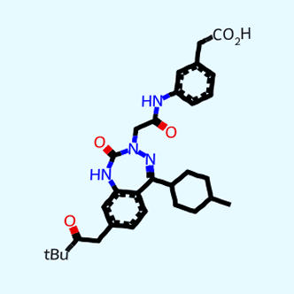 CC1CCC(C2=NN(CC(=O)Nc3cccc(CC(=O)O)c3)C(=O)Nc3cc(CC(=O)C(C)(C)C)ccc32)CC1